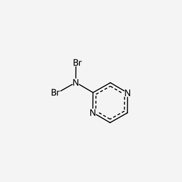 BrN(Br)c1cnccn1